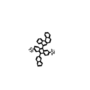 C[Si](C)(C)c1ccc2c(-c3cc4ccc5ccccc5c4c4ccccc34)c3cc([Si](C)(C)C)ccc3c(-c3ccc4ccccc4c3)c2c1